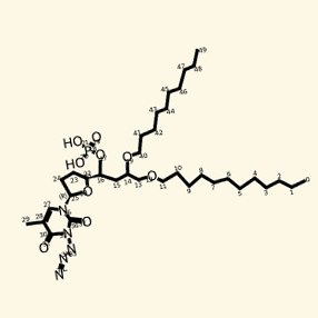 CCCCCCCCCCCCOCC(CC(OP(=O)(O)O)[C@@H]1CC[C@H](n2cc(C)c(=O)n(N=[N+]=[N-])c2=O)O1)OCCCCCCCCCC